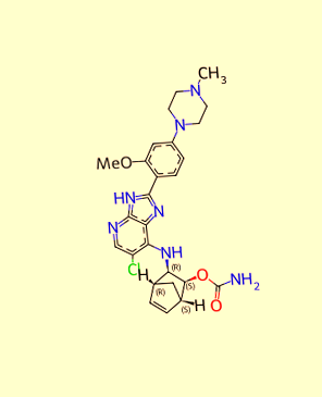 COc1cc(N2CCN(C)CC2)ccc1-c1nc2c(N[C@H]3[C@@H](OC(N)=O)[C@@H]4C=C[C@H]3C4)c(Cl)cnc2[nH]1